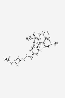 CCC1CN(CCOc2ccc([C@@H]3c4ccc(O)cc4[C@H](C)CN3S(C)(=O)=O)cc2)C1